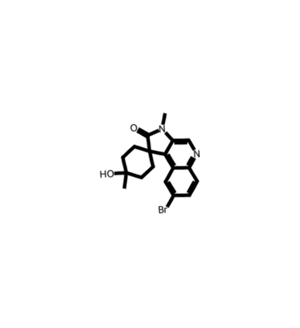 CN1C(=O)C2(CCC(C)(O)CC2)c2c1cnc1ccc(Br)cc21